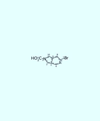 O=C(O)n1cc2ccc(Br)cc2c1